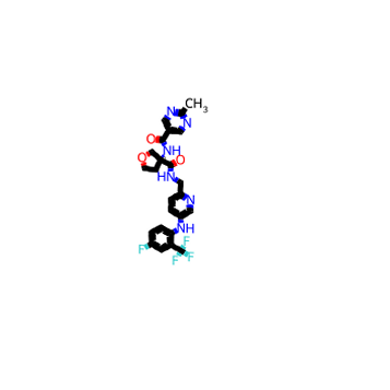 Cc1ncc(C(=O)N[C@@]2(C(=O)NCc3ccc(Nc4ccc(F)cc4C(F)(F)F)cn3)CCOC2)cn1